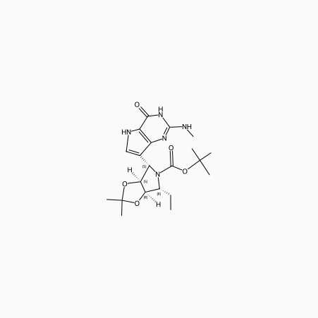 CC[C@@H]1[C@H]2OC(C)(C)O[C@H]2[C@H](c2c[nH]c3c(=O)[nH]c(NC)nc23)N1C(=O)OC(C)(C)C